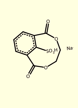 O=C1OCCOC(=O)c2cccc1c2S(=O)(=O)O.[Na]